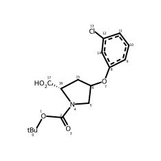 CC(C)(C)OC(=O)N1CC(Oc2cccc(Cl)c2)C[C@H]1C(=O)O